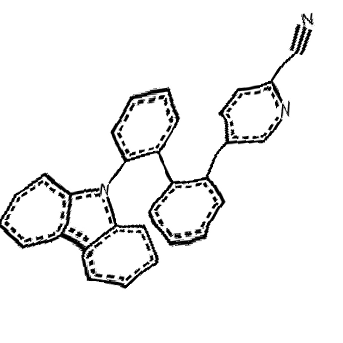 N#Cc1ccc(-c2ccccc2-c2ccccc2-n2c3ccccc3c3ccccc32)cn1